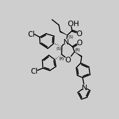 CCC[C@@H](C(=O)O)N1C(=O)[C@@H](Cc2ccc(-n3cccc3)cc2)O[C@H](c2ccc(Cl)cc2)[C@@H]1c1ccc(Cl)cc1